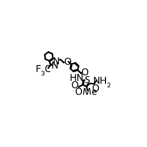 COC(=O)c1c(NC(=O)c2ccc(OCCn3nc(C(F)(F)F)c4c3CCCC4)cc2)sc(C(N)=O)c1C